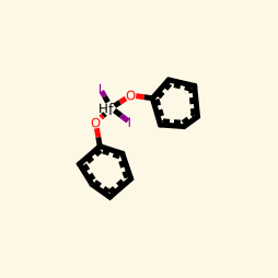 [I][Hf]([I])([O]c1ccccc1)[O]c1ccccc1